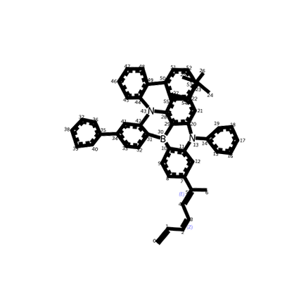 C=C/C=C\C=C(/C)c1ccc2c(c1)N(c1ccccc1)c1cc(C(C)(C)C)cc3c1B2c1ccc(-c2ccccc2)cc1N3c1ccccc1-c1ccccc1